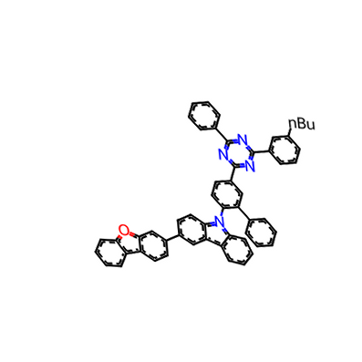 CCCCc1cccc(-c2nc(-c3ccccc3)nc(-c3ccc(-n4c5ccccc5c5cc(-c6ccc7c(c6)oc6ccccc67)ccc54)c(-c4ccccc4)c3)n2)c1